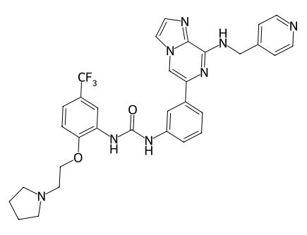 O=C(Nc1cccc(-c2cn3ccnc3c(NCc3ccncc3)n2)c1)Nc1cc(C(F)(F)F)ccc1OCCN1CCCC1